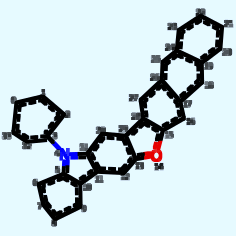 c1ccc(-n2c3ccccc3c3cc4oc5cc6cc7ccccc7cc6cc5c4cc32)cc1